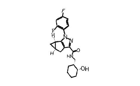 O=C(NC[C@H]1CCCC[C@H]1O)c1nn(-c2ccc(F)cc2F)c2c1C[C@H]1C[C@@H]21